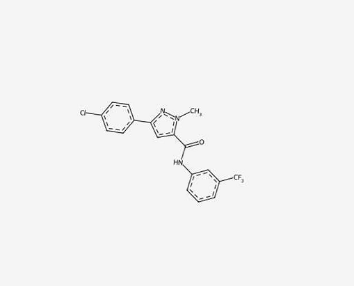 Cn1nc(-c2ccc(Cl)cc2)cc1C(=O)Nc1cccc(C(F)(F)F)c1